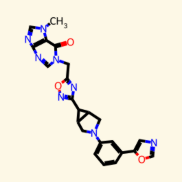 Cn1cnc2ncn(Cc3nc(C4C5CN(c6cccc(-c7cnco7)c6)CC54)no3)c(=O)c21